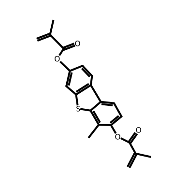 C=C(C)C(=O)Oc1ccc2c(c1)sc1c(C)c(OC(=O)C(=C)C)ccc12